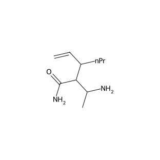 C=CC(CCC)C(C(N)=O)C(C)N